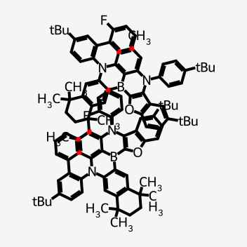 Cc1cc2c3c(c1)N(c1ccc(C(C)(C)C)cc1)c1c(oc4ccc(C(C)(C)C)cc14)B3c1cc3c(cc1N2c1ccc(C(C)(C)C)cc1-c1ccccc1F)C(C)(C)CCC3(C)Cc1cccc(-c2cc(C(C)(C)C)ccc2N2c3cc4c(cc3B3c5oc6ccc(C(C)(C)C)cc6c5N(c5ccccc5F)c5cc(C)cc2c53)C(C)(C)CCC4(C)C)c1